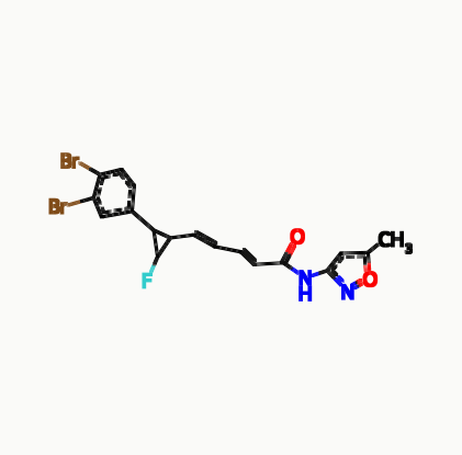 Cc1cc(NC(=O)/C=C/C=C/C2C(F)C2c2ccc(Br)c(Br)c2)no1